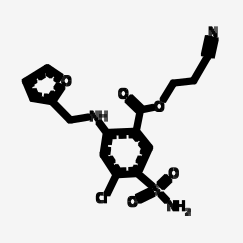 N#CCCOC(=O)c1cc(S(N)(=O)=O)c(Cl)cc1NCc1ccco1